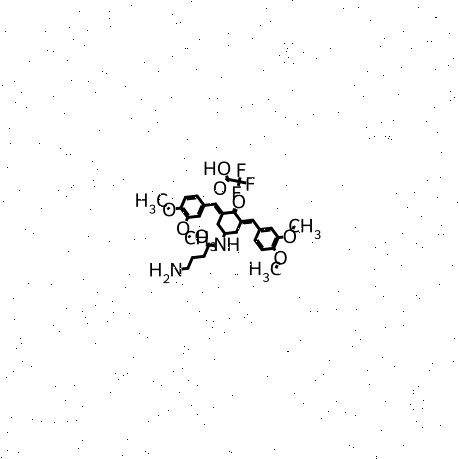 COc1ccc(/C=C2\CC(NC(=O)CCCN)C/C(=C\c3ccc(OC)c(OC)c3)C2=O)cc1OC.O=C(O)C(F)(F)F